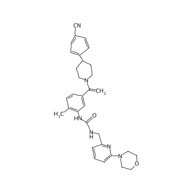 C=C(c1ccc(C)c(NC(=O)NCc2cccc(N3CCOCC3)n2)c1)N1CCC(c2ccc(C#N)cc2)CC1